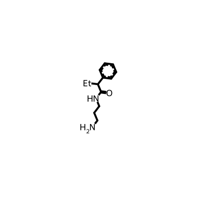 CCC(C(=O)NCCCN)c1ccccc1